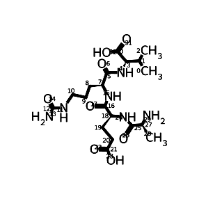 CC(C)[C@H](NC(=O)[C@H](CCCNC(N)=O)NC(=O)[C@H](CCC(=O)O)NC(=O)[C@H](C)N)C(=O)O